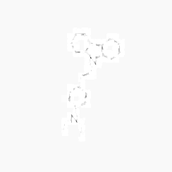 CCN(CC)c1ccc(C=Cn2c3ccccc3c3ccccc32)cc1